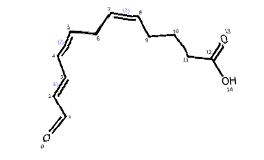 O=C/C=C/C=C\C/C=C\CCCC(=O)O